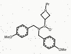 COc1ccc(CN(Cc2ccc(OC)cc2)[S+]([O-])C2CN(C(C)C)C2)cc1